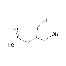 O=C(O)C[C@@H](CO)CCl